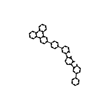 c1ccc(-c2ccc3oc4c(ccc5c6cc(-c7ccc(-c8ccc9c%10ccccc%10c%10ccccc%10c9c8)cc7)ccc6oc54)c3c2)cc1